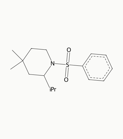 CC(C)C1CC(C)(C)CCN1S(=O)(=O)c1ccccc1